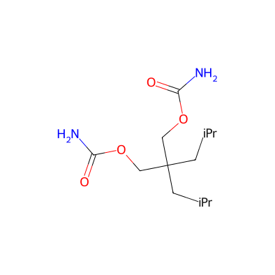 CC(C)CC(COC(N)=O)(COC(N)=O)CC(C)C